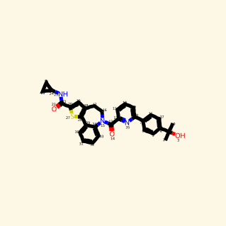 CC(C)(O)c1ccc(-c2cccc(C(=O)N3CCc4cc(C(=O)NC5CC5)sc4-c4ccccc43)n2)cc1